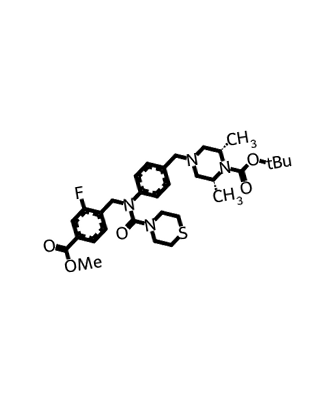 COC(=O)c1ccc(CN(C(=O)N2CCSCC2)c2ccc(CN3C[C@@H](C)N(C(=O)OC(C)(C)C)[C@@H](C)C3)cc2)c(F)c1